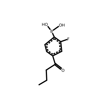 CCCC(=O)c1ccc(B(O)O)c(F)c1